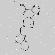 O=C(O)c1cccnc1N1CCCN(CC2COc3ccccc3O2)CC1